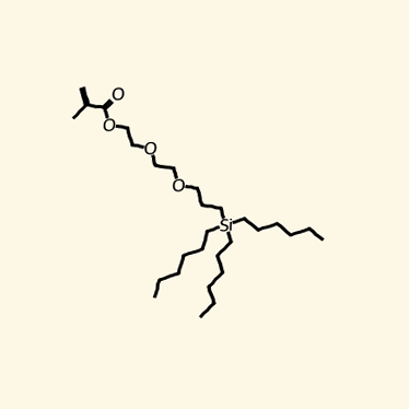 C=C(C)C(=O)OCCOCCOCCC[Si](CCCCCC)(CCCCCC)CCCCCC